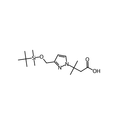 CC(C)(CC(=O)O)n1ccc(CO[Si](C)(C)C(C)(C)C)n1